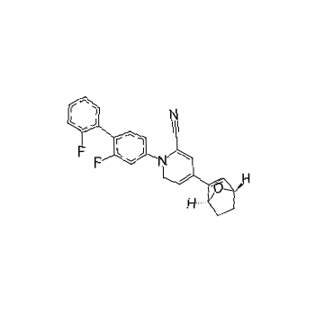 N#CC1=CC(C2=C[C@@H]3CC[C@@H]2O3)=CCN1c1ccc(-c2ccccc2F)c(F)c1